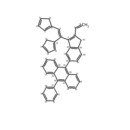 C=CC1=C(C(=CC2=CC=CC2)C2=CC=CC2)c2cc(-c3c4ccccc4c(-c4ccccc4)c4ccccc34)ccc2C1